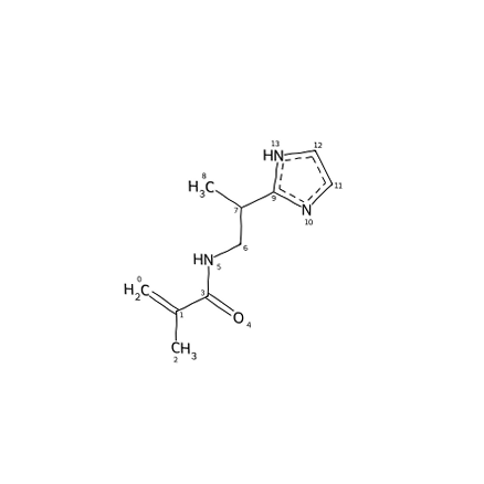 C=C(C)C(=O)NCC(C)c1ncc[nH]1